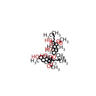 CC(=O)O[C@H]1C[C@@]2(C)[C@H](C[C@@H](O)C3[C@@]4(C)CC[C@@H](O)[C@@H](C)C4CC[C@@]32C)C1=C(CCC=C(C)C)C(=O)O[C@@H]1CC[C@@]2(C)C(CC[C@@]3(C)[C@@H]2[C@H](O)C[C@@H]2C(=C(CCC=C(C)C)C(=O)O)[C@@H](OC(C)=O)C[C@@]23C)[C@@H]1C